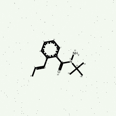 CC=Cc1ccccc1C(=O)N(N)C(C)(C)C